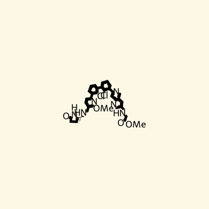 COC(=O)CNCc1cnc2cc(-c3cccc(-c4cccc(-c5ccc(CNC[C@@H]6CCC(=O)N6)c(OC)n5)c4Cl)c3Cl)ncc2c1